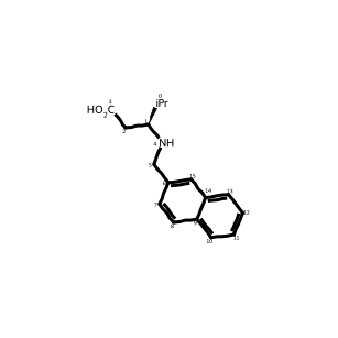 CC(C)[C@H](CC(=O)O)NCc1ccc2ccccc2c1